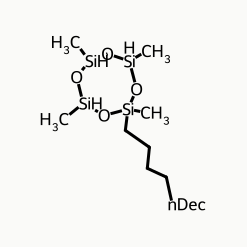 CCCCCCCCCCCCCC[Si]1(C)O[SiH](C)O[SiH](C)O[SiH](C)O1